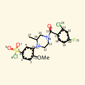 COc1ccc(S(=O)(=O)Cl)cc1N1CCN(C(=O)c2ccc(F)cc2Cl)CC1C